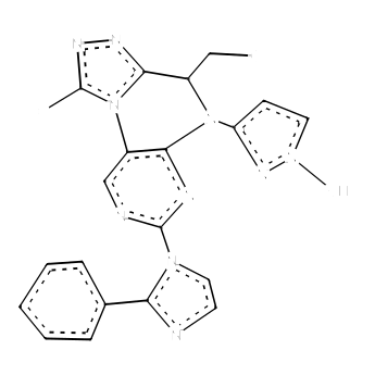 CCC1c2nnc(C)n2-c2cnc(-n3ccnc3-c3ccccc3)nc2N1c1ccn(C)n1